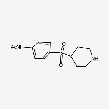 CC(=O)Nc1ccc(S(=O)(=O)C2CCNCC2)cc1